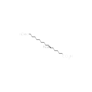 CCCCCCCCCCCCCCCCCCCCCCCCCC(=O)O.[NaH]